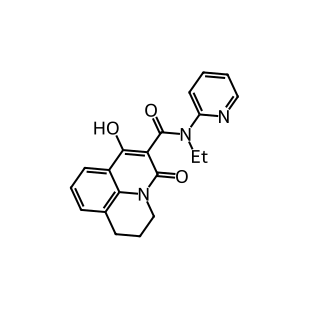 CCN(C(=O)c1c(O)c2cccc3c2n(c1=O)CCC3)c1ccccn1